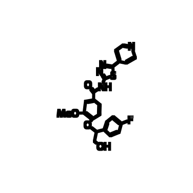 COc1cc(C(=O)Nc2nnc(-c3ccncc3)s2)ccc1OC(CO)c1ccc(F)cc1